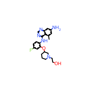 Cc1cc(N)cc2ncnc(Nc3ccc(F)cc3OC3CCCN(CCO)C3)c12